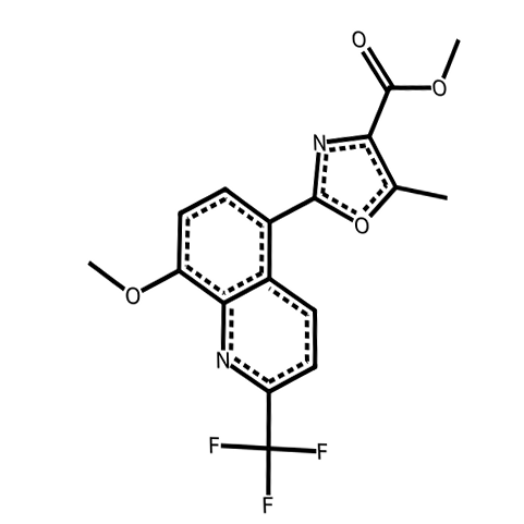 COC(=O)c1nc(-c2ccc(OC)c3nc(C(F)(F)F)ccc23)oc1C